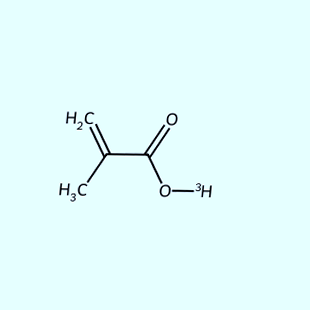 [3H]OC(=O)C(=C)C